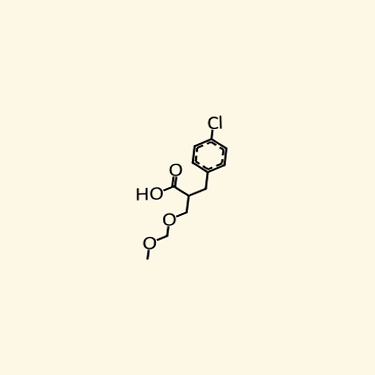 COCOCC(Cc1ccc(Cl)cc1)C(=O)O